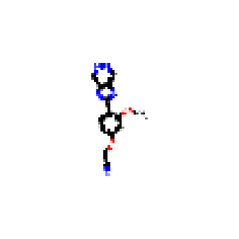 COc1cc(OCC#N)ccc1-c1nc2cnncc2[nH]1